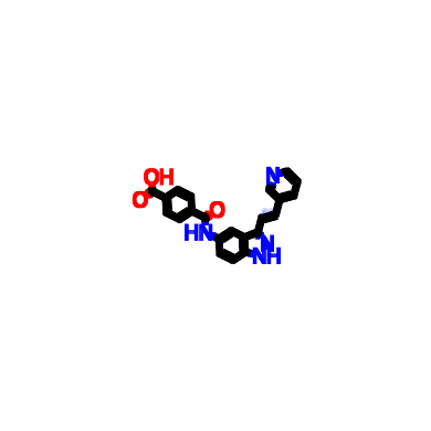 O=C(O)c1ccc(C(=O)Nc2ccc3[nH]nc(/C=C/c4cccnc4)c3c2)cc1